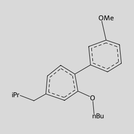 CCCCOc1cc(CC(C)C)ccc1-c1cccc(OC)c1